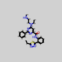 CCc1nnc(-c2ccccc2NC(=O)c2cc(N(CC)CCNC)nc(-c3ccccc3)n2)s1